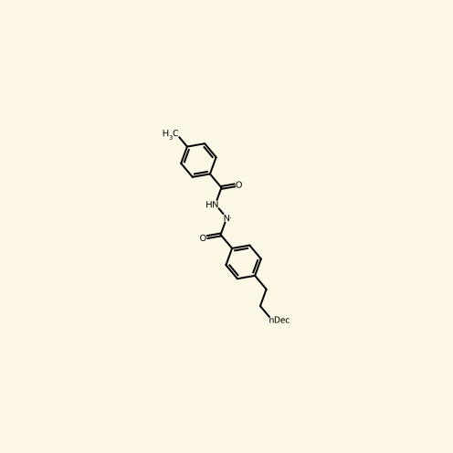 CCCCCCCCCCCCc1ccc(C(=O)[N]NC(=O)c2ccc(C)cc2)cc1